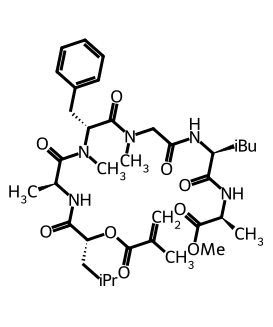 C=C(C)C(=O)O[C@H](CC(C)C)C(=O)N[C@@H](C)C(=O)N(C)[C@H](Cc1ccccc1)C(=O)N(C)CC(=O)N[C@H](C(=O)N[C@@H](C)C(=O)OC)C(C)CC